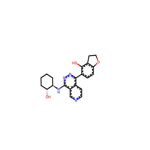 Oc1c(-c2nnc(N[C@@H]3CCCC[C@H]3O)c3cnccc23)ccc2c1CCO2